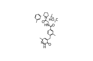 Cc1cccc([C@@H]2CC[C@H](C(C)(C)C(=O)O)N2C(=O)CNC(=O)c2ccc(Cc3cc(C)n[nH]c3=O)c(C)c2)c1